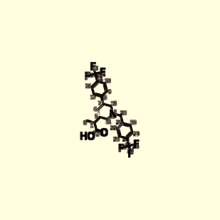 C[C@H](C(=O)O)[C@@H]1C[C@@H](c2ccc(C(F)(F)F)cc2)CN(Cc2ccc(C(F)(F)F)cc2)C1